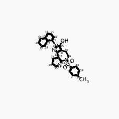 Cc1ccc(S(=O)(=O)N2CCc3c(nn(-c4cccc5ccccc45)c3O)-c3cccnc32)cc1